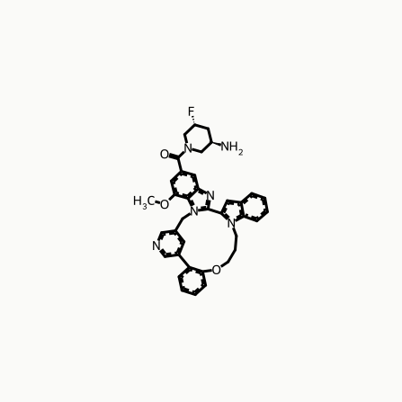 COc1cc(C(=O)N2C[C@H](N)C[C@@H](F)C2)cc2nc3n(c12)Cc1cncc(c1)-c1ccccc1OCCCn1c-3cc2ccccc21